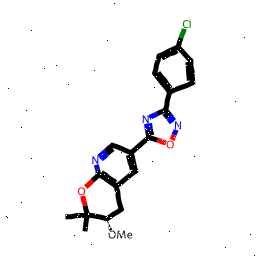 CO[C@H]1Cc2cc(-c3nc(-c4ccc(Cl)cc4)no3)cnc2OC1(C)C